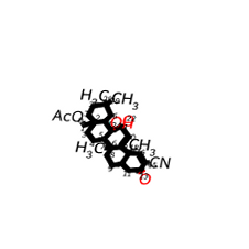 CC(=O)OCC12CCC3C4(C)CCC5CC(=O)C(C#N)=CC5(C)C4=CC(=O)C3(O)C1CC(C)(C)CC2